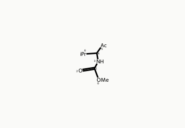 COC(=O)NC(C(C)=O)C(C)C